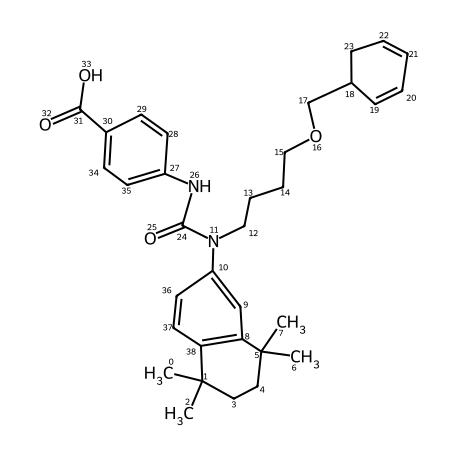 CC1(C)CCC(C)(C)c2cc(N(CCCCOCC3C=CC=CC3)C(=O)Nc3ccc(C(=O)O)cc3)ccc21